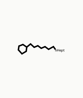 [CH2]CCCCCCCCCCCCCC1CCCCC1